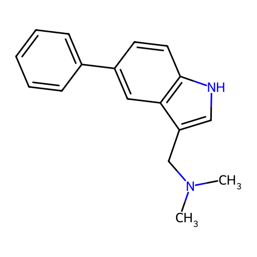 CN(C)Cc1c[nH]c2ccc(-c3ccccc3)cc12